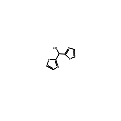 OC(c1nccs1)c1nccs1